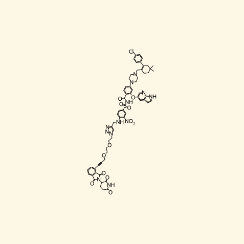 CC1(C)CCC(CN2CCN(c3ccc(C(=O)NS(=O)(=O)c4ccc(NCc5cn(CCOCCOCC#Cc6cccc7c6C(=O)N(C6CCC(=O)NC6=O)C7=O)nn5)c([N+](=O)[O-])c4)c(Oc4cnc5[nH]ccc5c4)c3)CC2)=C(c2ccc(Cl)cc2)C1